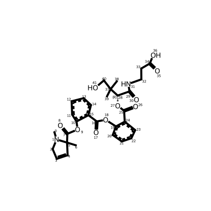 CN1CC=CC1(C)C(=O)Oc1ccccc1C(=O)Oc1ccccc1C(=O)O[C@@H](C(=O)NCCC(=O)O)C(C)(C)CO